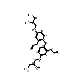 C=CCc1cc(OCC(O)CO)ccc1Cc1ccc(OCC(O)CO)cc1CC=C